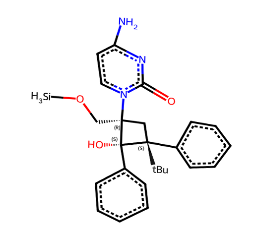 CC(C)(C)[C@]1(c2ccccc2)C[C@](CO[SiH3])(n2ccc(N)nc2=O)[C@]1(O)c1ccccc1